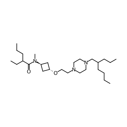 CCCCC(CCC)CN1CCN(CCO[C@H]2C[C@H](N(C)C(=O)C(CC)CCC)C2)CC1